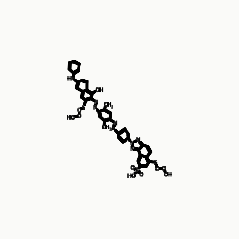 Cc1cc(N=Nc2c(SOOO)cc3cc(Nc4ccccc4)ccc3c2O)c(C)cc1N=Nc1ccc(-n2nc3ccc4c(SOOO)cc(S(=O)(=O)O)cc4c3n2)cc1